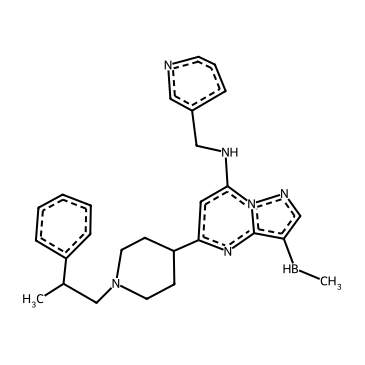 CBc1cnn2c(NCc3cccnc3)cc(C3CCN(CC(C)c4ccccc4)CC3)nc12